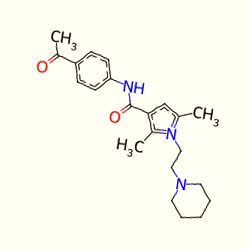 CC(=O)c1ccc(NC(=O)c2cc(C)n(CCN3CCCCC3)c2C)cc1